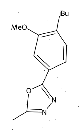 CCC(C)c1ccc(-c2nnc(C)o2)cc1OC